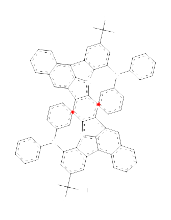 CC(C)(C)c1cc(N(c2ccccc2)c2ccccc2)c2c(c1)c1c3ccccc3cc3c4nc5c(cc4n2c31)c1cc2ccccc2c2c3cc(C(C)(C)C)cc(N(c4ccccc4)c4ccccc4)c3n5c12